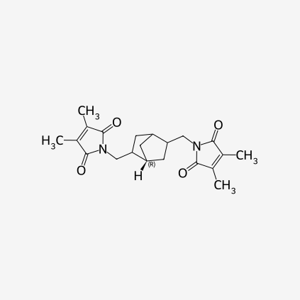 CC1=C(C)C(=O)N(CC2C[C@H]3CC2CC3CN2C(=O)C(C)=C(C)C2=O)C1=O